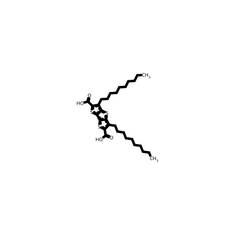 CCCCCCCCCCc1c(C(=O)O)sc2c1sc1c(CCCCCCCCCC)c(C(=O)O)sc12